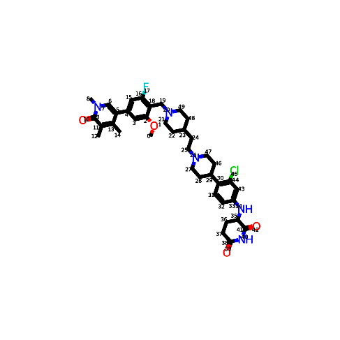 COc1cc(-c2cn(C)c(=O)c(C)c2C)cc(F)c1CN1CCC(CCN2CCC(c3ccc(NC4CCC(=O)NC4=O)cc3Cl)CC2)CC1